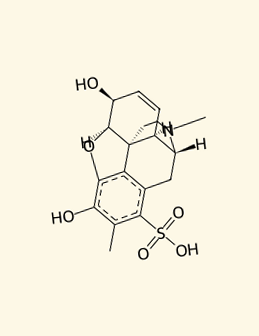 Cc1c(O)c2c3c(c1S(=O)(=O)O)C[C@@H]1[C@@H]4C=C[C@H](O)[C@H](O2)[C@]34CCN1C